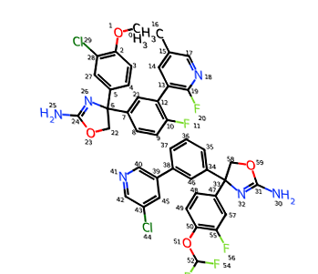 COc1ccc(C2(c3ccc(F)c(-c4cc(C)cnc4F)c3)COC(N)=N2)cc1Cl.NC1=NC(c2cccc(-c3cncc(Cl)c3)c2)(c2ccc(OC(F)F)c(F)c2)CO1